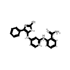 CCc1nc(-c2ccccc2)c(Oc2ccnc(Nc3ccccc3C(N)=O)c2)s1